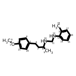 COc1ccc(CCC(C)NCNc2ccccc2C)cc1